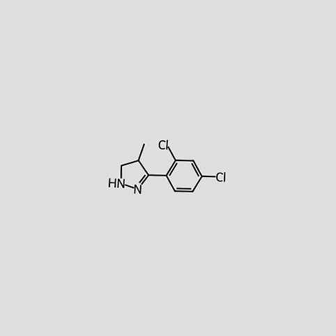 CC1CNN=C1c1ccc(Cl)cc1Cl